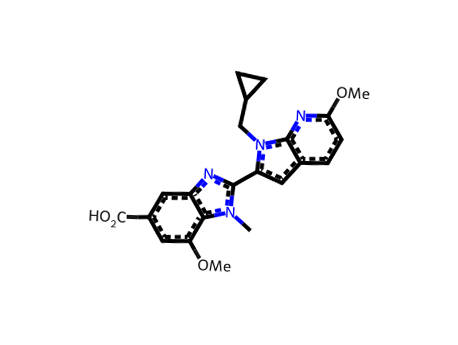 COc1ccc2cc(-c3nc4cc(C(=O)O)cc(OC)c4n3C)n(CC3CC3)c2n1